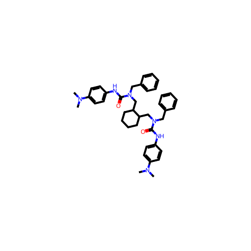 CN(C)c1ccc(NC(=O)N(Cc2ccccc2)CC2CCCCC2CN(Cc2ccccc2)C(=O)Nc2ccc(N(C)C)cc2)cc1